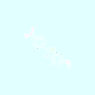 COc1ccc2nc(-c3ccc(I(=O)=O)cc3)sc2c1